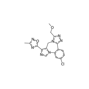 COCc1nnc2n1Cc1c(-c3nc(C)no3)ncn1-c1cc(Cl)ccc1-2